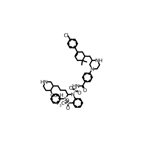 CC1(C)CC=C(c2ccc(Cl)cc2)CC1CC1CN(c2ccc(C(=O)NS(=O)(=O)N(c3ccccc3S(=O)(=O)C(F)(F)F)C(CCCC3CNCCC3C(=O)O)Sc3ccccc3)cc2)CCN1